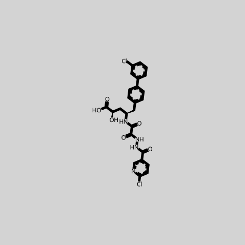 O=C(NNC(=O)c1ccc(Cl)nc1)C(=O)N[C@H](Cc1ccc(-c2cccc(Cl)c2)cc1)C[C@@H](O)C(=O)O